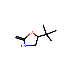 C=C1NCC(C(C)(C)C)O1